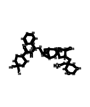 CCC1(CN2CC3(CC4CCC(C3)N4CC[C@H](NC(=O)C3CCC(F)(F)CC3)c3ccccc3)NC2=O)COCOC1